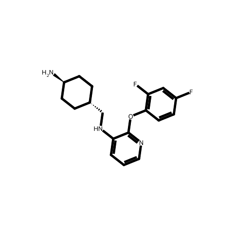 N[C@H]1CC[C@H](CNc2cccnc2Oc2ccc(F)cc2F)CC1